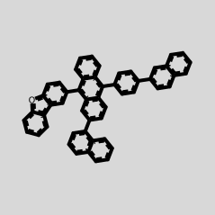 c1ccc2cc(-c3ccc(-c4c5ccccc5c(-c5ccc6oc7ccccc7c6c5)c5cc(-c6cccc7ccccc67)ccc45)cc3)ccc2c1